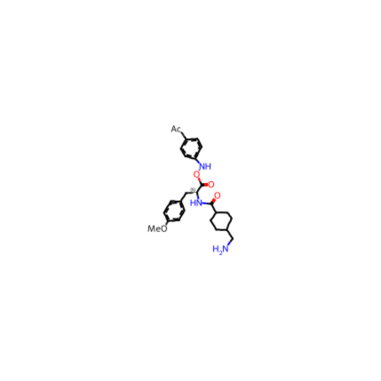 COc1ccc(C[C@H](NC(=O)C2CCC(CN)CC2)C(=O)ONc2ccc(C(C)=O)cc2)cc1